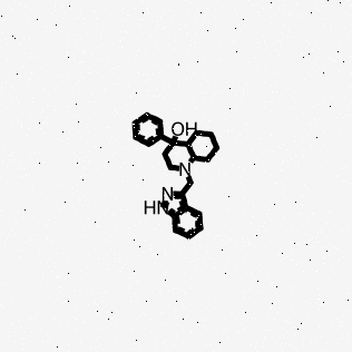 OC1(c2ccccc2)CCN(Cc2n[nH]c3ccccc23)C2CCCCC21